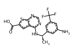 C[C@@H](Nc1ncnc2sc(C(=O)O)cc12)c1cc(N)cc(C(F)(F)F)c1